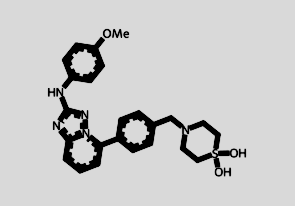 COc1ccc(Nc2nc3cccc(-c4ccc(CN5CCS(O)(O)CC5)cc4)n3n2)cc1